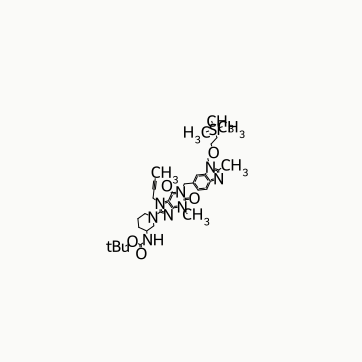 CC#CCn1c(N2CCCC(NC(=O)OC(C)(C)C)C2)nc2c1c(=O)n(Cc1ccc3nc(C)n(COCC[Si](C)(C)C)c3c1)c(=O)n2C